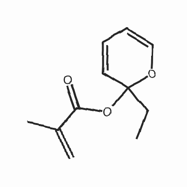 C=C(C)C(=O)OC1(CC)C=CC=CO1